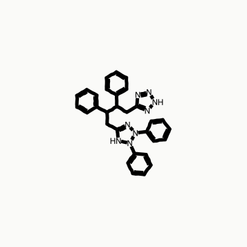 c1ccc(C(CC2=NN(c3ccccc3)N(c3ccccc3)N2)C(Cc2nn[nH]n2)c2ccccc2)cc1